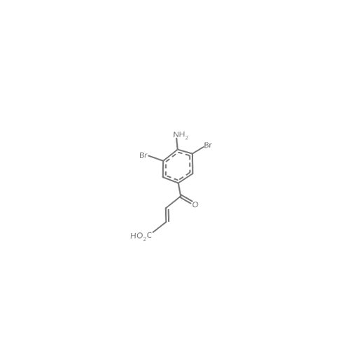 Nc1c(Br)cc(C(=O)C=CC(=O)O)cc1Br